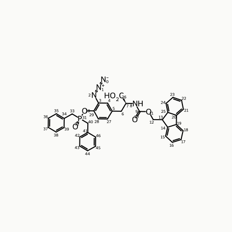 [N-]=[N+]=Nc1cc(C[C@H](NC(=O)OCC2c3ccccc3-c3ccccc32)C(=O)O)ccc1OP(=O)(Cc1ccccc1)Cc1ccccc1